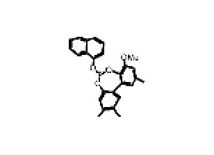 COc1cc(C)cc2c1op(Oc1cccc3ccccc13)oc1cc(C)c(C)cc12